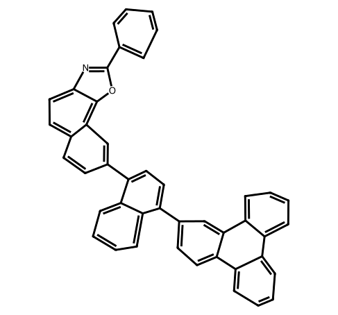 c1ccc(-c2nc3ccc4ccc(-c5ccc(-c6ccc7c8ccccc8c8ccccc8c7c6)c6ccccc56)cc4c3o2)cc1